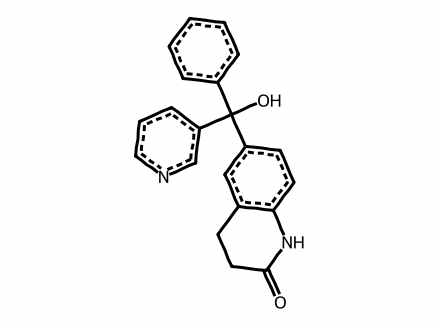 O=C1CCc2cc(C(O)(c3ccccc3)c3cccnc3)ccc2N1